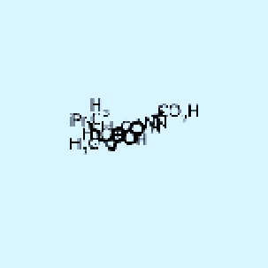 CC(C)[C@@H](C)CC[C@@H](C)[C@H]1CCC2=C3CC[C@H]4C[C@H](n5cc(C(=O)O)nn5)CC[C@]4(C)[C@H]3CC[C@@]21C